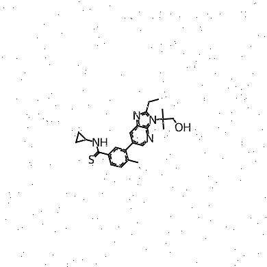 CCc1nc2cc(-c3cc(C(=S)NC4CC4)ccc3C)cnc2n1C(C)(C)CO